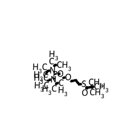 CC(C)N(C(C)C)P(OCOCCCSC(=O)C(C)(C)C)N(C(C)C)C(C)C